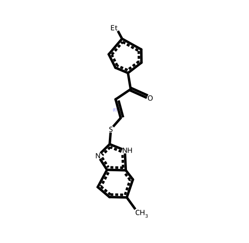 CCc1ccc(C(=O)/C=C/Sc2nc3ccc(C)cc3[nH]2)cc1